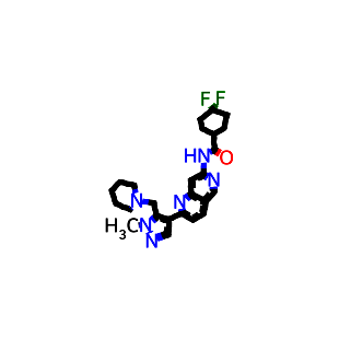 Cn1ncc(-c2ccc3cnc(NC(=O)C4CCC(F)(F)CC4)cc3n2)c1CN1CCCCC1